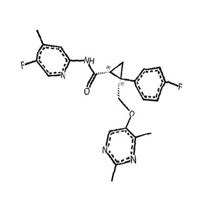 Cc1ncc(OC[C@@]2(c3ccc(F)cc3)C[C@H]2C(=O)Nc2cc(C)c(F)cn2)c(C)n1